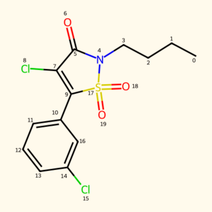 CCCCN1C(=O)C(Cl)=C(c2cccc(Cl)c2)S1(=O)=O